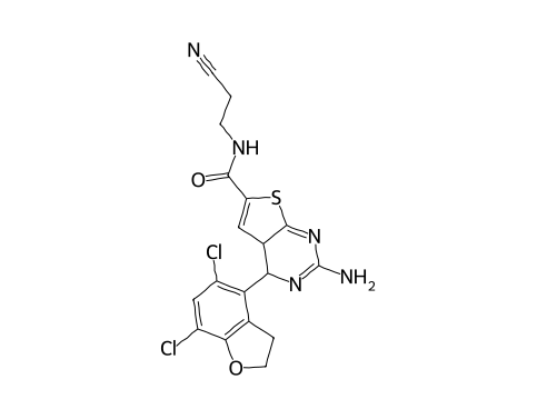 N#CCCNC(=O)C1=CC2C(=NC(N)=NC2c2c(Cl)cc(Cl)c3c2CCO3)S1